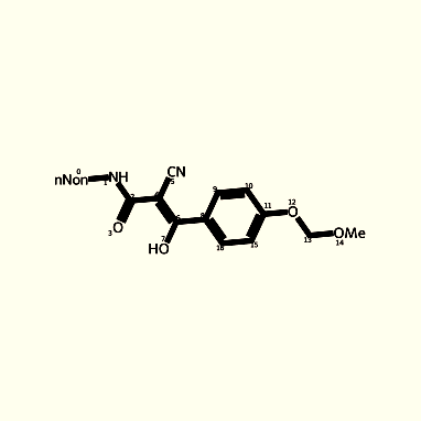 CCCCCCCCCNC(=O)/C(C#N)=C(\O)c1ccc(OCOC)cc1